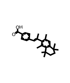 CC(=Cc1ccc(C(=O)O)cc1)c1c(C)cc2c(c1C)C(C)(C)CCC2(C)C